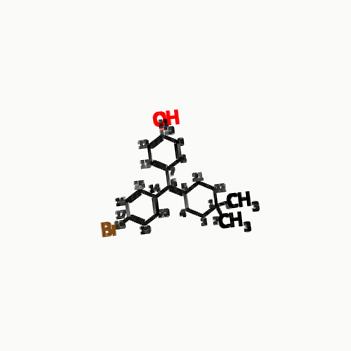 CC1(C)CCC(=C(c2ccc(O)cc2)c2ccc(Br)cc2)CC1